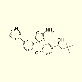 CC(C)(C)C[C@H](O)c1ccc2c(c1)[C@]1(COC(N)=N1)c1cc(-c3cncnc3)ccc1O2